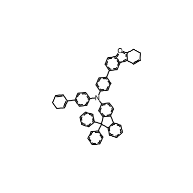 C1=CC(c2ccc(N(c3ccc(-c4ccc5oc6c(c5c4)C=CCC6)cc3)c3ccc4c(c3)C(c3ccccc3)(c3ccccc3)c3ccccc3-4)cc2)=CCC1